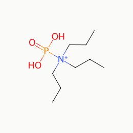 CCC[N+](CCC)(CCC)P(=O)(O)O